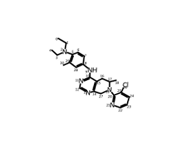 CCN(CC)c1ccc(Nc2ncnc3c2CC(C)N(c2ncccc2Cl)C3)cc1C